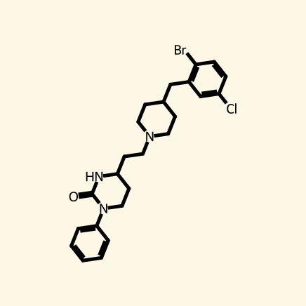 O=C1NC(CCN2CCC(Cc3cc(Cl)ccc3Br)CC2)CCN1c1ccccc1